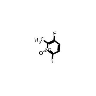 Cc1c(F)ccc(I)[n+]1[O-]